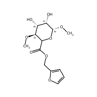 CO[C@@H]1OC(C(=O)OCc2ccco2)[C@@H](OC)[C@H](O)[C@@H]1O